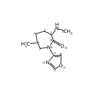 CNC1CCC(C)CN(c2cocn2)C1=O